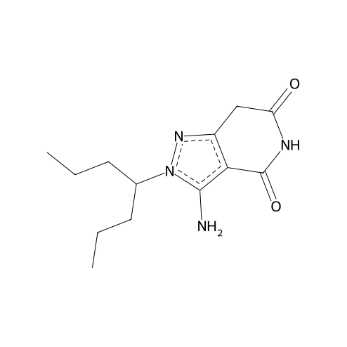 CCCC(CCC)n1nc2c(c1N)C(=O)NC(=O)C2